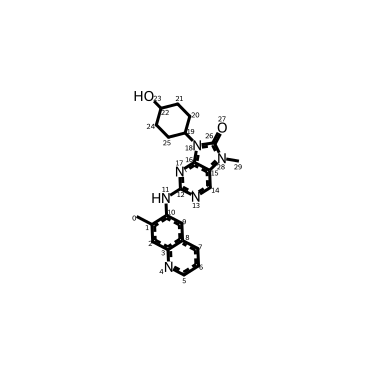 Cc1cc2ncccc2cc1Nc1ncc2c(n1)n(C1CCC(O)CC1)c(=O)n2C